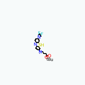 CN(CCCC(=O)OC(C)(C)C)c1ccc2c(c1)=[SH]c1cc(N3CC(F)(F)C3)ccc1N=2